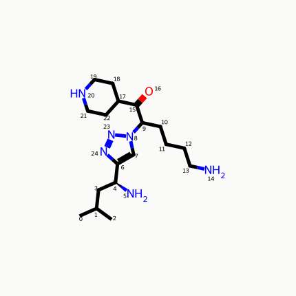 CC(C)C[C@H](N)c1cn(C(CCCCN)C(=O)C2CCNCC2)nn1